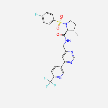 C[C@H]1CCN(S(=O)(=O)c2ccc(F)cc2)[C@@H]1C(=O)NCc1cc(-c2ccc(C(F)(F)F)nc2)ncn1